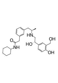 C[C@H](Cc1cccc(CC(=O)NC2CCCCC2)c1)NC[C@@H](O)c1ccc(O)c(CO)c1